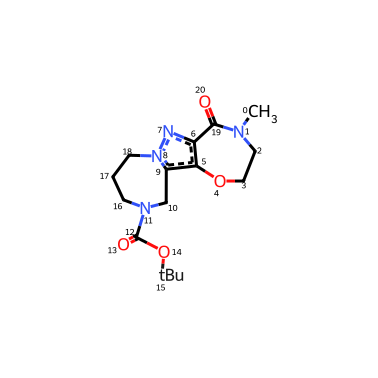 CN1CCOc2c(nn3c2CN(C(=O)OC(C)(C)C)CCC3)C1=O